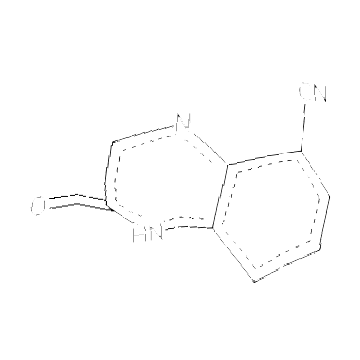 N#Cc1cccc2[nH]c(=O)cnc12